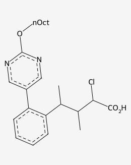 CCCCCCCCOc1ncc(-c2ccccc2C(C)C(C)C(Cl)C(=O)O)cn1